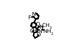 CN1C(=O)C2(N=C1N)c1cc(-c3cccnc3F)ccc1OC1CCCO[C@H]12